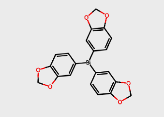 c1cc2c(c[c]1[Bi]([c]1ccc3c(c1)OCO3)[c]1ccc3c(c1)OCO3)OCO2